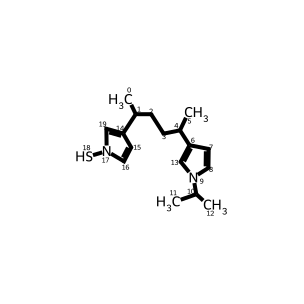 CC(CCC(C)c1ccn(C(C)C)c1)c1ccn(S)c1